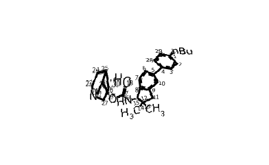 CCCCc1ccc(-c2ccc3c(c2)CC(C)(C)[C@H]3NC(=O)O[C@H]2CN3CCC2CC3)cc1